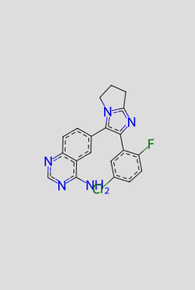 Nc1ncnc2ccc(-c3c(-c4cc(Cl)ccc4F)nc4n3CCC4)cc12